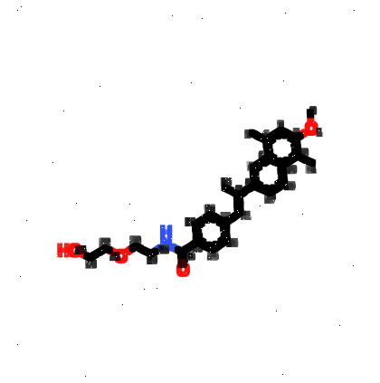 COc1cc(C)c2cc(C(C)=Cc3ccc(C(=O)NCCOCCO)cc3)ccc2c1C